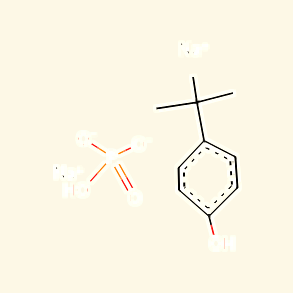 CC(C)(C)c1ccc(O)cc1.O=P([O-])([O-])O.[Na+].[Na+]